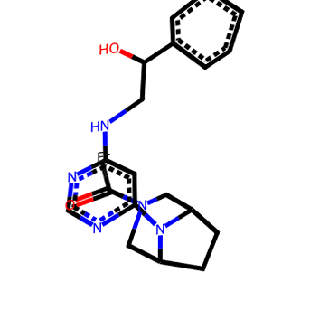 CCC(=O)N1CC2CCC(C1)N2c1cc(NCC(O)c2ccccc2)ncn1